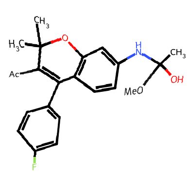 COC(C)(O)Nc1ccc2c(c1)OC(C)(C)C(C(C)=O)=C2c1ccc(F)cc1